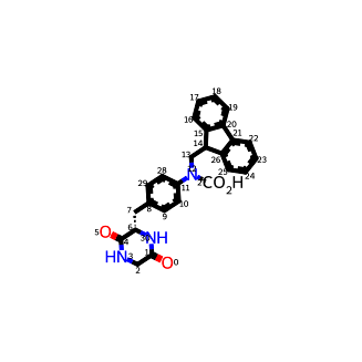 O=C1CNC(=O)[C@H](Cc2ccc(N(CC3c4ccccc4-c4ccccc43)C(=O)O)cc2)N1